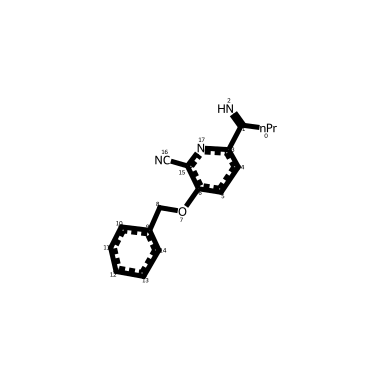 CCCC(=N)c1ccc(OCc2ccccc2)c(C#N)n1